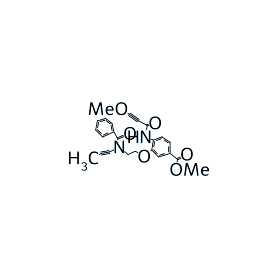 CC#CN(CCOc1cc(C(=O)OC)ccc1NC(=O)C#COC)C(=O)c1ccccc1